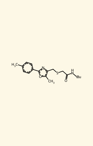 CCC(C)NC(=O)CSCc1nc(-c2ccc(C)cc2)oc1C